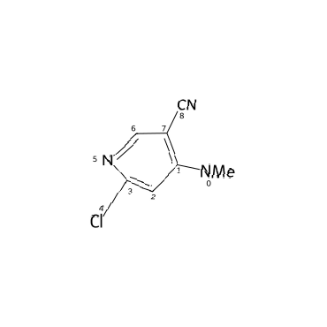 CNc1cc(Cl)ncc1C#N